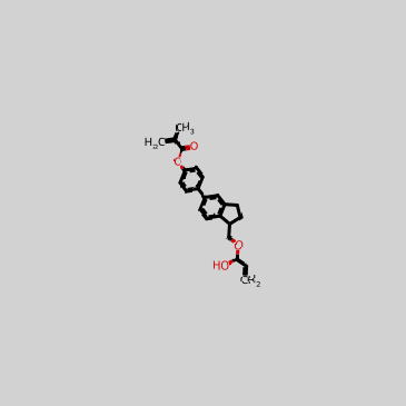 C=CC(O)OCC1CCc2cc(-c3ccc(OC(=O)C(=C)C)cc3)ccc21